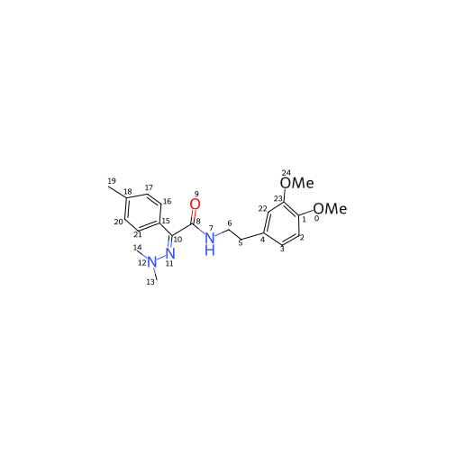 COc1ccc(CCNC(=O)C(=NN(C)C)c2ccc(C)cc2)cc1OC